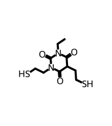 CCN1C(=O)C(CCS)C(=O)N(CCS)C1=O